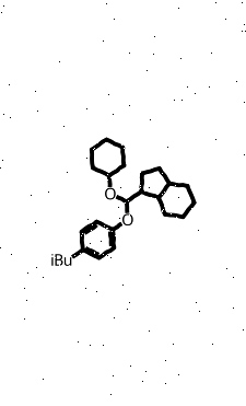 CCC(C)c1ccc(OC(OC2CCCCC2)C2CCC3CCCCC32)cc1